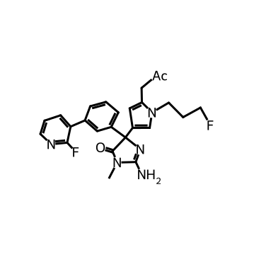 CC(=O)Cc1cc(C2(c3cccc(-c4cccnc4F)c3)N=C(N)N(C)C2=O)cn1CCCF